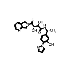 C[C@@H](NC(=O)[C@H](O)[C@@H](O)C(=O)N1Cc2cccnc2C1)c1ccc(-n2cccn2)c(O)c1